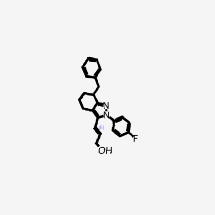 OC/C=C/c1c2c(nn1-c1ccc(F)cc1)C(Cc1ccccc1)CCC2